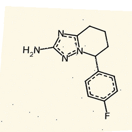 Nc1nc2n(n1)C(c1ccc(F)cc1)CCC2